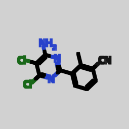 Cc1c(C#N)cccc1-c1nc(N)c(Cl)c(Cl)n1